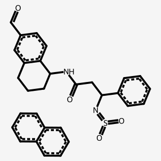 O=Cc1ccc2c(c1)CCCC2NC(=O)CC(N=S(=O)=O)c1ccccc1.c1ccc2ccccc2c1